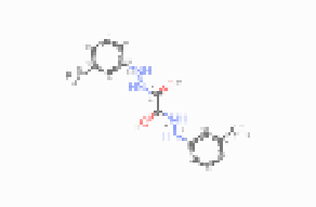 O=C(NNc1cccc(C(F)(F)F)c1)C(=O)NNc1cccc(C(F)(F)F)c1